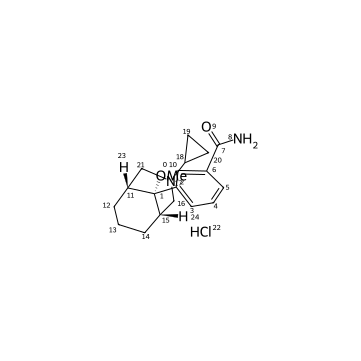 CO[C@@]1(c2cccc(C(N)=O)c2)[C@@H]2CCC[C@H]1CN(C1CC1)C2.Cl